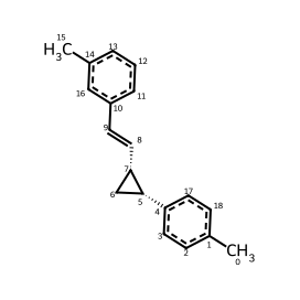 Cc1ccc([C@@H]2C[C@@H]2/C=C/c2cccc(C)c2)cc1